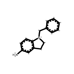 Nc1ccc2c(c1)CCN2Cc1ccccc1